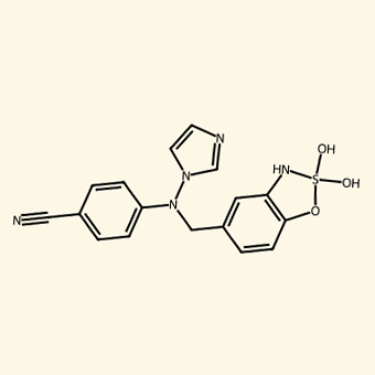 N#Cc1ccc(N(Cc2ccc3c(c2)NS(O)(O)O3)n2ccnc2)cc1